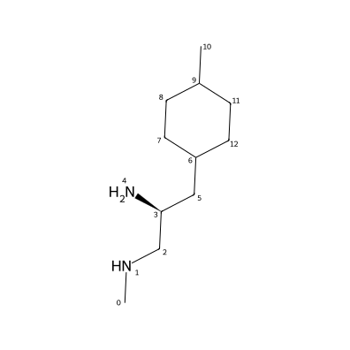 CNC[C@@H](N)CC1CCC(C)CC1